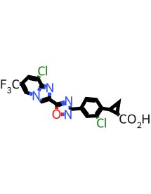 O=C(O)C1CC1c1ccc(-c2noc(-c3cn4cc(C(F)(F)F)cc(Cl)c4n3)n2)cc1Cl